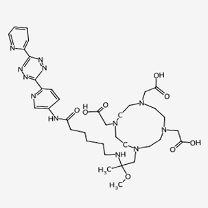 COC(C)(CN1CCN(CC(=O)O)CCN(CC(=O)O)CCN(CC(=O)O)CC1)NCCCCCC(=O)Nc1ccc(-c2nnc(-c3ccccn3)nn2)nc1